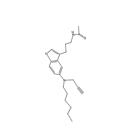 C#CCN(CCCCCC)c1ccc2occ(CCCNC(C)=O)c2c1